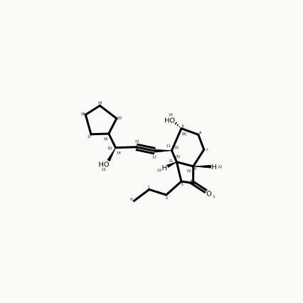 CCCC1C(=O)[C@H]2CC[C@@H](O)[C@H](C#C[C@@H](O)C3CCCC3)[C@@H]12